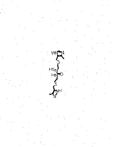 Cc1nc[nH]c1CSCCNC(=O)N(S)CCSCc1[nH]cnc1C